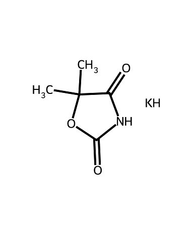 CC1(C)OC(=O)NC1=O.[KH]